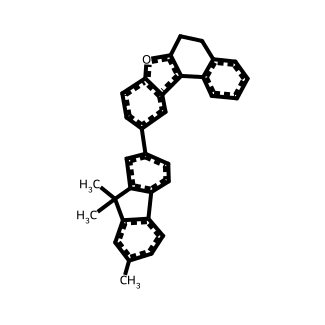 Cc1ccc2c(c1)C(C)(C)c1cc(-c3ccc4oc5c(c4c3)-c3ccccc3CC5)ccc1-2